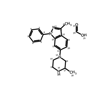 Cc1nn(-c2ccccc2)c2cc(N3CCNC(C)C3)ccc12.O=CO